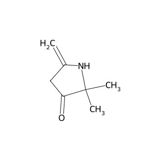 C=C1CC(=O)C(C)(C)N1